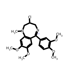 COc1ccc(/C2=N/CC(Cl)CN(C)c3cc(OC)c(OC)cc32)cc1OC